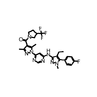 CCc1c(Nc2cc(-n3nc(C)c(C(=O)N4CCC(C(F)(F)F)C4)c3C)ncn2)nn(C)c1-c1ccc(F)cc1